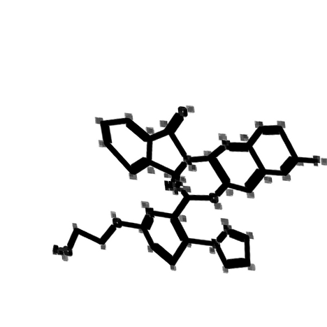 CC(=O)OCCOc1ccc(-n2cccn2)c(C(C)Oc2cc3cc(F)ccc3nc2N2C(=O)c3ccccc3C2=O)n1